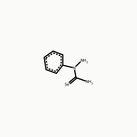 NC(=[Se])N(N)c1ccccc1